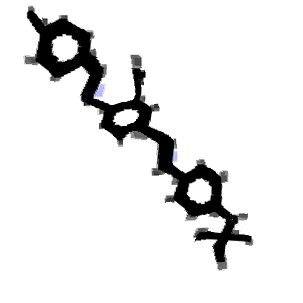 Cc1ccc(/C=C/c2ccc(/C=C/c3ccc(OC(C)(C)C)cc3)cc2Br)cc1